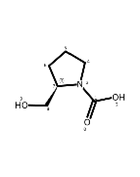 O=C(O)N1CCC[C@@H]1CO